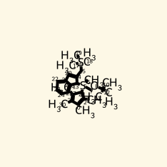 CC1=C(C)C(S(C)(COC(C)(C)C)C2C(CS(C)(C)C)=Cc3ccccc32)C(C)=C1C